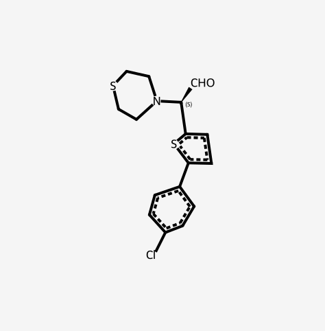 O=C[C@@H](c1ccc(-c2ccc(Cl)cc2)s1)N1CCSCC1